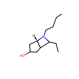 CCCCN1C(CC)C2CC(O)C[C@@H]21